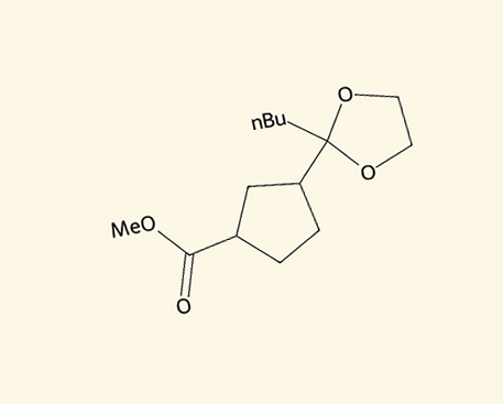 CCCCC1(C2CCC(C(=O)OC)C2)OCCO1